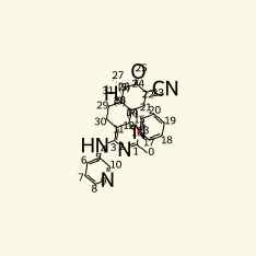 Cc1nc(Nc2cccnc2)c2c(n1)[C@]1(c3ccccc3)CC(C#N)C(=O)[C@@H](C)[C@@H]1CC2